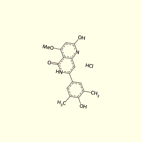 COc1cc(O)nc2cc(-c3cc(C)c(O)c(C)c3)[nH]c(=O)c12.Cl